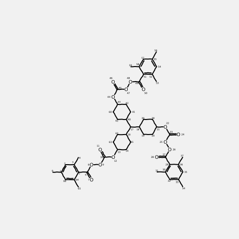 Cc1cc(C)c(C(=O)OOC(=O)OC2CCC(C(C3CCC(OC(=O)OOC(=O)c4c(C)cc(C)cc4C)CC3)C3CCC(OC(=O)OOC(=O)c4c(C)cc(C)cc4C)CC3)CC2)c(C)c1